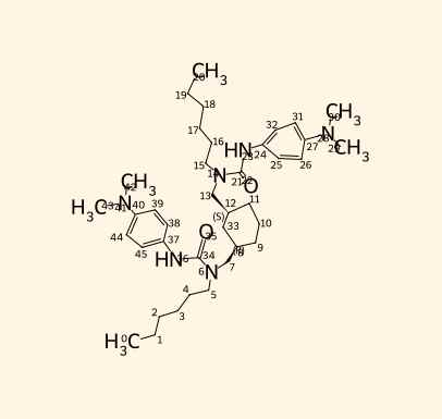 CCCCCCN(C[C@@H]1CCC[C@H](CN(CCCCCC)C(=O)Nc2ccc(N(C)C)cc2)C1)C(=O)Nc1ccc(N(C)C)cc1